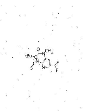 CN(C(=O)OC(C)(C)C)c1cc(C(F)F)cnc1N=C=S